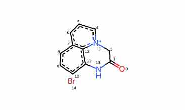 O=C1C[n+]2cccc3cccc(c32)N1.[Br-]